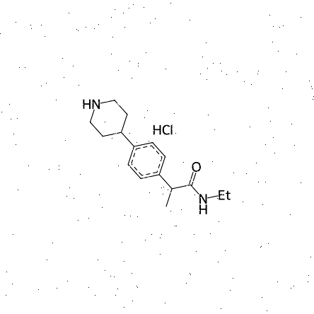 CCNC(=O)C(C)c1ccc(C2CCNCC2)cc1.Cl